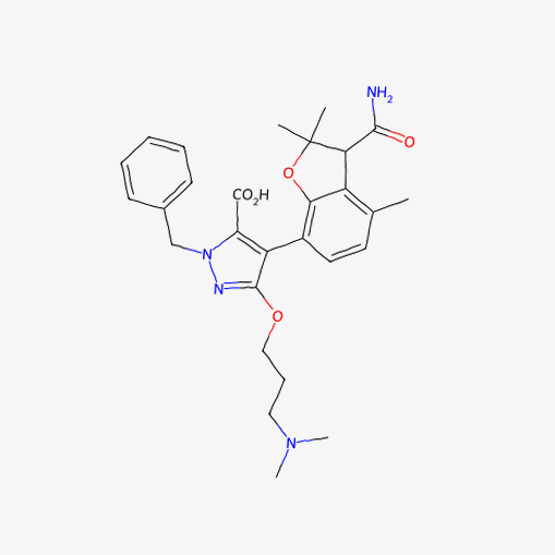 Cc1ccc(-c2c(OCCCN(C)C)nn(Cc3ccccc3)c2C(=O)O)c2c1C(C(N)=O)C(C)(C)O2